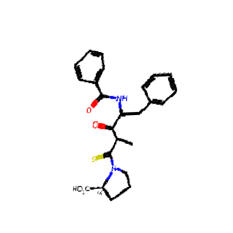 CC(C(=O)C(Cc1ccccc1)NC(=O)c1ccccc1)C(=S)N1CCC[C@H]1C(=O)O